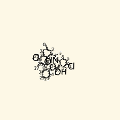 Cc1cc(C(C)Nc2ccc(Cl)cc2C(=O)O)c2oc(-c3ccccc3)c(C)c(=O)c2c1